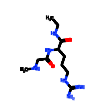 CCNC(=O)C(CCCNC(=N)N)NC(=O)CNC